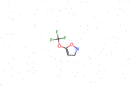 FC(F)(F)OC1=CC[N]O1